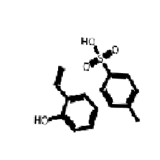 C=Cc1ccccc1O.Cc1ccc(S(=O)(=O)O)cc1